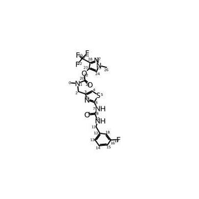 CN(Cc1csc(NC(=O)NCc2cccc(F)c2)n1)C(=O)Oc1cn(C)nc1C(F)(F)F